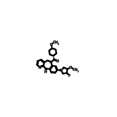 COC1CN(c2ccc3c(c2)N(C(=O)[C@H]2CC[C@H](OC)CC2)Cc2cccnc2N3)CC1F